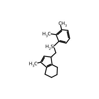 CC1=C[C](C[SiH2]c2cccc(C)c2C)C2=C1CCCC2